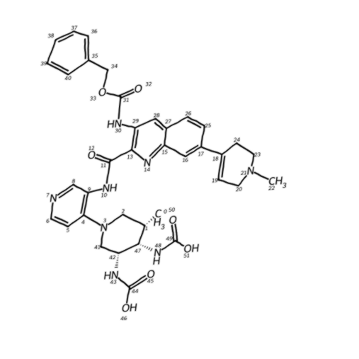 C[C@H]1CN(c2ccncc2NC(=O)c2nc3cc(C4=CCN(C)CC4)ccc3cc2NC(=O)OCc2ccccc2)C[C@@H](NC(=O)O)[C@H]1NC(=O)O